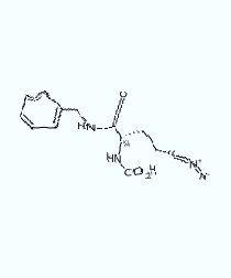 [N-]=[N+]=NCC[C@H](NC(=O)O)C(=O)NCc1ccccc1